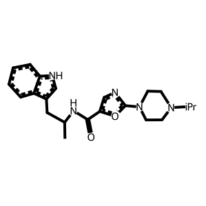 CC(Cc1c[nH]c2ccccc12)NC(=O)c1cnc(N2CCN(C(C)C)CC2)o1